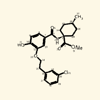 COC(=O)[C@]1(NC(=O)c2ccc(O)c(OCCc3cccc(Cl)c3)c2)CC[C@@H](C)CC1